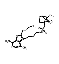 CCOCc1nc2c(N)ncc(C)c2n1CCCCNS(=O)(=O)CC12CCC(CC1=O)C2(C)C